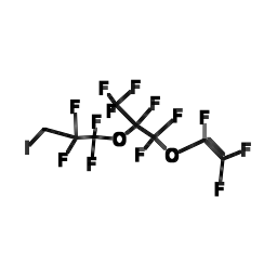 FC(F)=C(F)OC(F)(F)C(F)(OC(F)(F)C(F)(F)CI)C(F)(F)F